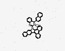 CN1C(n2c3cc4ccccc4cc3c3c4ccccc4c4ccccc4c32)=Nc2ccccc2C1c1ccc2ccccc2c1